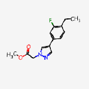 CCc1ccc(-c2cnn(CC(=O)OC)c2)cc1F